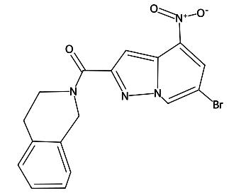 O=C(c1cc2c([N+](=O)[O-])cc(Br)cn2n1)N1CCc2ccccc2C1